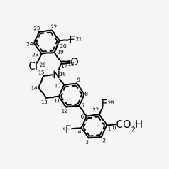 O=C(O)c1ccc(F)c(-c2ccc3c(c2)CCCN3C(=O)c2c(F)cccc2Cl)c1F